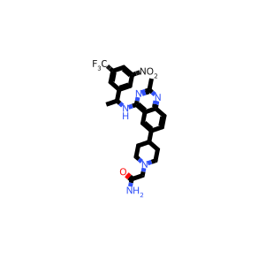 Cc1nc(NC(C)c2cc([N+](=O)[O-])cc(C(F)(F)F)c2)c2cc(C3CCN(CC(N)=O)CC3)ccc2n1